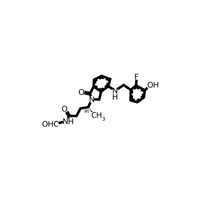 C[C@H](CCC(=O)NC=O)N1Cc2c(NCc3cccc(O)c3F)cccc2C1=O